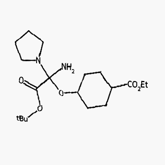 CCOC(=O)C1CCC(OC(N)(C(=O)OC(C)(C)C)N2CCCC2)CC1